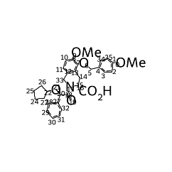 COc1ccc(COc2c(OC)ccc3c2C[C@@H](C(=O)O)N(C(=O)[C@H](OC2CCCC2)c2ccccc2)C3)cc1